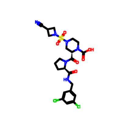 N#CC1CN(S(=O)(=O)N2CCN(C(=O)O)[C@H](C(=O)N3CCC[C@@H]3C(=O)NCc3cc(Cl)cc(Cl)c3)C2)C1